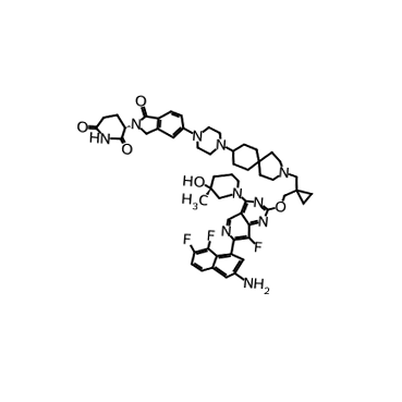 C[C@@]1(O)CCCN(c2nc(OCC3(CN4CCC5(CCC(N6CCN(c7ccc8c(c7)CN([C@H]7CCC(=O)NC7=O)C8=O)CC6)CC5)CC4)CC3)nc3c(F)c(-c4cc(N)cc5ccc(F)c(F)c45)ncc23)C1